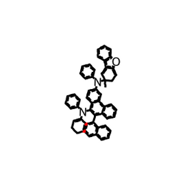 CC1(N(c2ccccc2)c2ccc3c(N(C4=CCCC=C4)c4ccccc4)c(-c4cccc5ccccc45)c4ccccc4c3c2)C=c2c(oc3ccccc23)=CC1